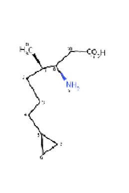 C[C@H](CCCC1CC1)[C@H](N)CC(=O)O